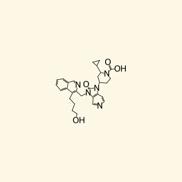 O=C(O)N1CCC(n2c(=O)n(Cc3ncc4ccccc4c3CCCCO)c3cnccc32)CC1C1CC1